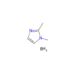 B.Cc1nccn1C